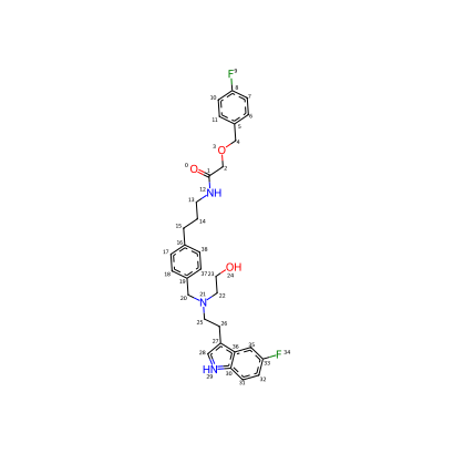 O=C(COCc1ccc(F)cc1)NCCCc1ccc(CN(CCO)CCc2c[nH]c3ccc(F)cc23)cc1